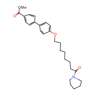 COC(=O)c1ccc(-c2ccc(OCCCCCCCC(=O)N3CCCCC3)cc2)cc1